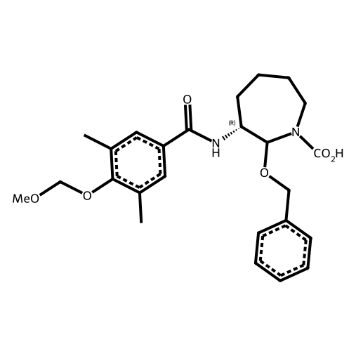 COCOc1c(C)cc(C(=O)N[C@@H]2CCCCN(C(=O)O)C2OCc2ccccc2)cc1C